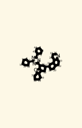 c1ccc(-c2nc(-c3ccccc3)nc(-c3cc(-c4ccc5ccc6ncccc6c5c4)cc4c3oc3ccccc34)n2)cc1